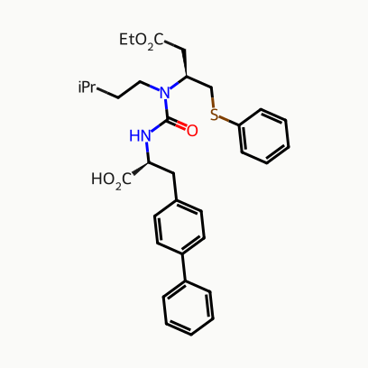 CCOC(=O)C[C@@H](CSc1ccccc1)N(CCC(C)C)C(=O)N[C@@H](Cc1ccc(-c2ccccc2)cc1)C(=O)O